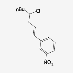 CCCCC(Cl)CC=Cc1cccc([N+](=O)[O-])c1